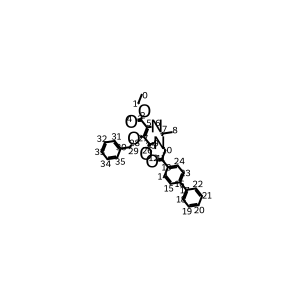 CCOC(=O)c1nc(C)n(CC(=O)c2ccc(-c3ccccc3)cc2)c(=O)c1OCc1ccccc1